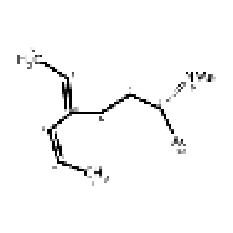 C/C=C\C(=C/C)CC[C@H](NC)C(C)=O